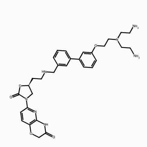 NCCN(CCN)CCOc1cccc(-c2cccc(CNCC[C@H]3CN(c4ccc5c(n4)NC(=O)CO5)C(=O)O3)c2)c1